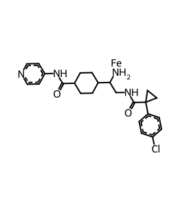 NC(CNC(=O)C1(c2ccc(Cl)cc2)CC1)C1CCC(C(=O)Nc2ccncc2)CC1.[Fe]